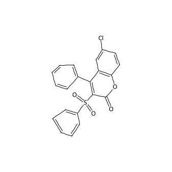 O=c1oc2ccc(Cl)cc2c(-c2ccccc2)c1S(=O)(=O)c1ccccc1